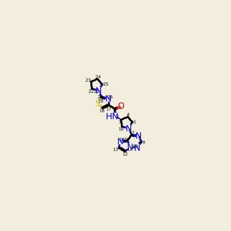 O=C(N[C@H]1CCN(c2ncnn3ccnc23)C1)c1csc(N2CCCC2)n1